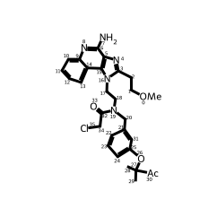 COCCc1nc2c(N)nc3ccccc3c2n1CCN(Cc1cccc(OC(C)(C)C(C)=O)c1)C(=O)CCl